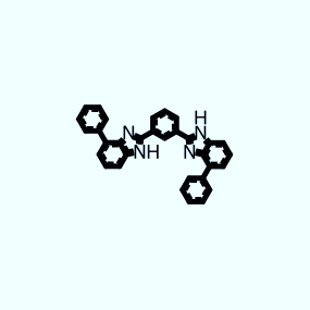 c1ccc(-c2cccc3[nH]c(-c4cccc(-c5nc6c(-c7ccccc7)cccc6[nH]5)c4)nc23)cc1